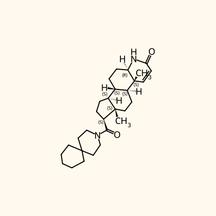 C[C@]12C=CC(=O)N[C@@H]1CC[C@@H]1[C@@H]2CC[C@]2(C)[C@@H](C(=O)N3CCC4(CCCCC4)CC3)CC[C@@H]12